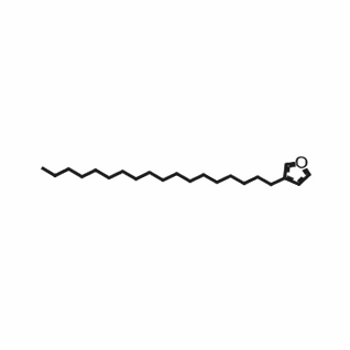 CCCCCCCCCCCCCCCCCCc1ccoc1